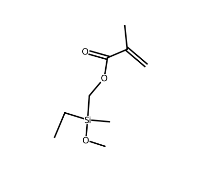 C=C(C)C(=O)OC[Si](C)(CC)OC